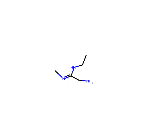 CCN/C(CN)=N\C